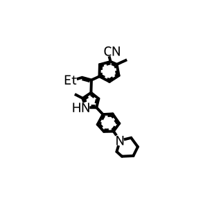 CC/C=C(/c1ccc(C)c(C#N)c1)c1cc(-c2ccc(N3CCCCC3)cc2)[nH]c1C